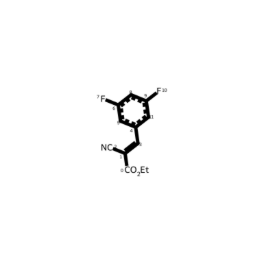 CCOC(=O)C(C#N)=Cc1cc(F)cc(F)c1